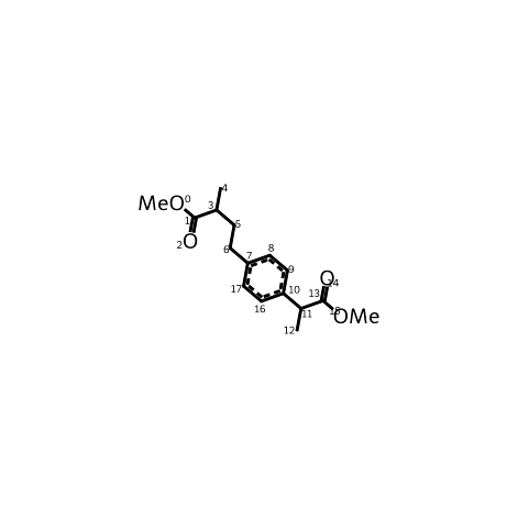 COC(=O)C(C)CCc1ccc(C(C)C(=O)OC)cc1